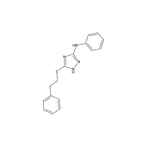 c1ccc(CCSc2nc(Nc3ccccc3)n[nH]2)cc1